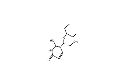 CCC(CC)O[C@H](CO)N1C=CC(=O)NC1O